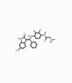 Cc1c(N/C(=C2\C(=O)Nc3cc(Cl)ccc32)c2ccccc2)ccc(N(C)C(=O)CN(C)C)c1C